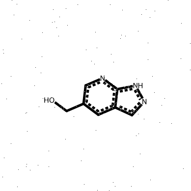 OCc1cnc2[nH]ncc2c1